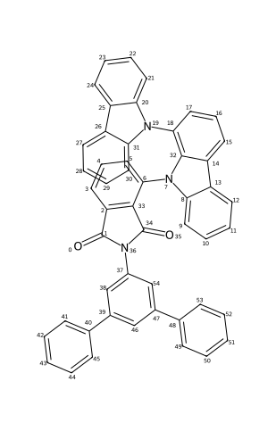 O=C1c2cccc(-n3c4ccccc4c4cccc(-n5c6ccccc6c6ccccc65)c43)c2C(=O)N1c1cc(-c2ccccc2)cc(-c2ccccc2)c1